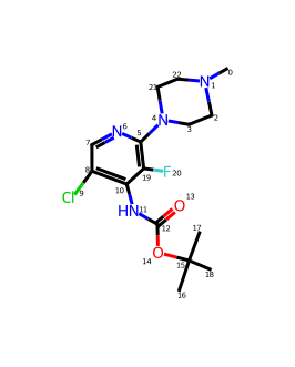 CN1CCN(c2ncc(Cl)c(NC(=O)OC(C)(C)C)c2F)CC1